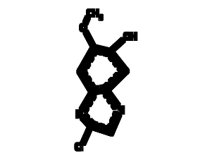 COc1cc2nc(Cl)cnc2cc1O